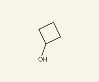 OC1C[CH]C1